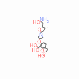 C[C@@H](CCC(N)O)CC(=O)N1CC(Oc2ccc3c(c2C(O)O)OB(O)CC3)C1